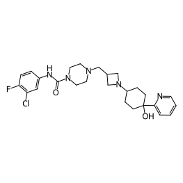 O=C(Nc1ccc(F)c(Cl)c1)N1CCN(CC2CN(C3CCC(O)(c4ccccn4)CC3)C2)CC1